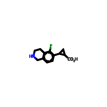 O=C(O)C1CC1c1ccc2c(c1F)CCNC2